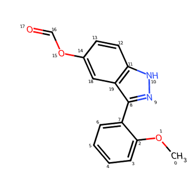 COc1ccccc1-c1n[nH]c2ccc(OC=O)cc12